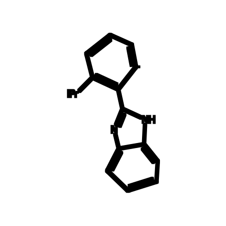 CC(C)c1ccc[c]c1-c1nc2ccccc2[nH]1